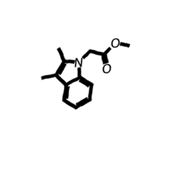 COC(=O)Cn1c(C)c(C)c2ccccc21